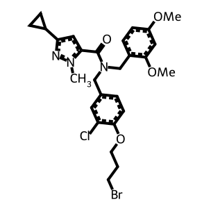 COc1ccc(CN(Cc2ccc(OCCCBr)c(Cl)c2)C(=O)c2cc(C3CC3)nn2C)c(OC)c1